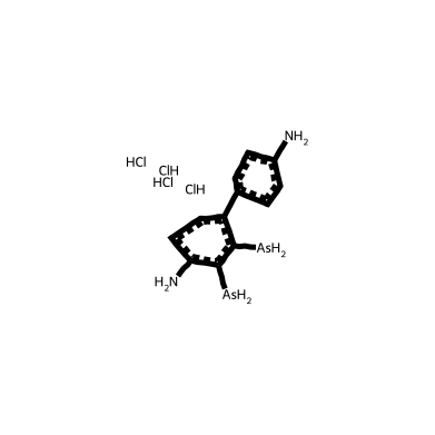 Cl.Cl.Cl.Cl.Nc1ccc(-c2ccc(N)c([AsH2])c2[AsH2])cc1